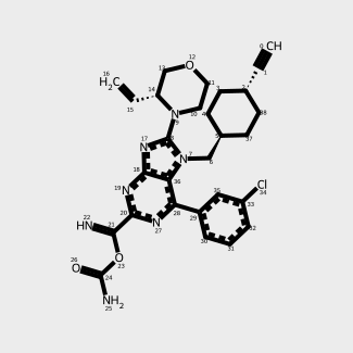 C#C[C@H]1CC[C@H](Cn2c(N3CCOC[C@H]3C=C)nc3nc(C(=N)OC(N)=O)nc(-c4cccc(Cl)c4)c32)CC1